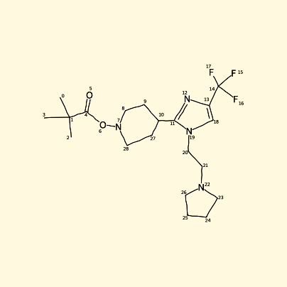 CC(C)(C)C(=O)ON1CCC(c2nc(C(F)(F)F)cn2CCN2CCCC2)CC1